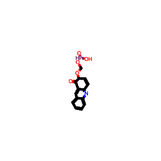 O=C1c2cc3ccccc3nc2C=CC1OCO[PH](=O)O